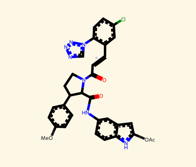 COc1ccc(C2CCN(C(=O)/C=C/c3cc(Cl)ccc3-n3cnnn3)C2C(=O)Nc2ccc3[nH]c(OC(C)=O)cc3c2)cc1